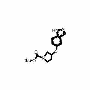 CC(C)(C)OC(=O)N1CCC(Sc2ccc3[nH]ncc3c2)C1